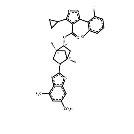 O=C(O)c1cc(C(F)(F)F)c2nc(N3C[C@@H]4C[C@H]3C[C@H]4OC(=O)c3c(-c4c(Cl)cccc4Cl)noc3C3CC3)sc2c1